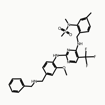 COc1cc(CNCc2ccccc2)ccc1Nc1ncc(C(F)(F)F)c(NCc2ccc(C)cc2N(C)S(C)(=O)=O)n1